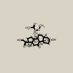 CON(C)C(C)=O.C[C@]12CC[C@@H](O)C[C@H]1CC[C@@H]1[C@@H]2C(=O)C[C@@]2(C)[C@H]1CC[C@]2(O)C(=O)CO